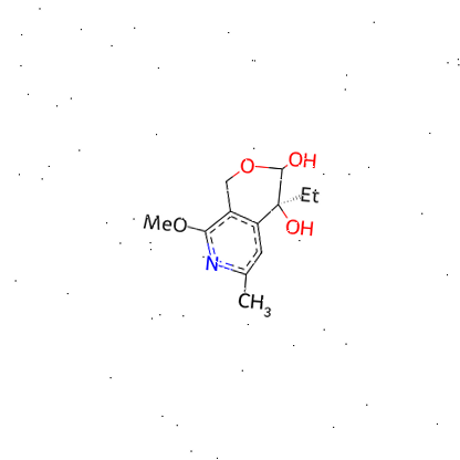 CC[C@]1(O)c2cc(C)nc(OC)c2COC1O